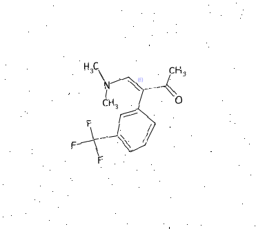 CC(=O)/C(=C/N(C)C)c1cccc(C(F)(F)F)c1